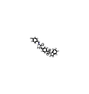 Cc1ccc(/C=C/C(=O)Nc2ccc(S(=O)(=O)N3CCc4ccccc43)cc2)cc1